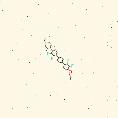 C=CCOc1ccc(-c2ccc(-c3ccc(C4=CCC(CC)CC4)c(F)c3F)cc2)c(F)c1F